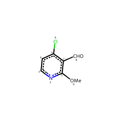 COc1nccc(Cl)c1C=O